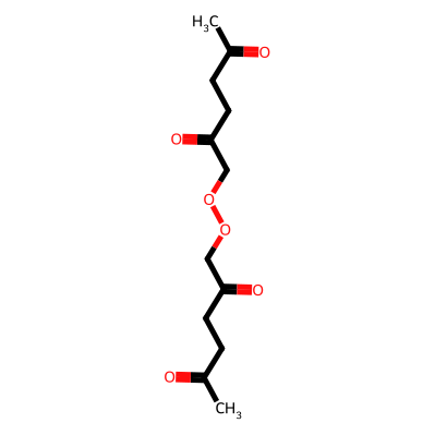 CC(=O)CCC(=O)COOCC(=O)CCC(C)=O